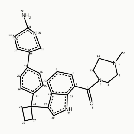 CN1CCN(C(=O)c2cccc3c(C4(c5ccc(-c6cnc(N)nc6)cc5)CCC4)c[nH]c23)CC1